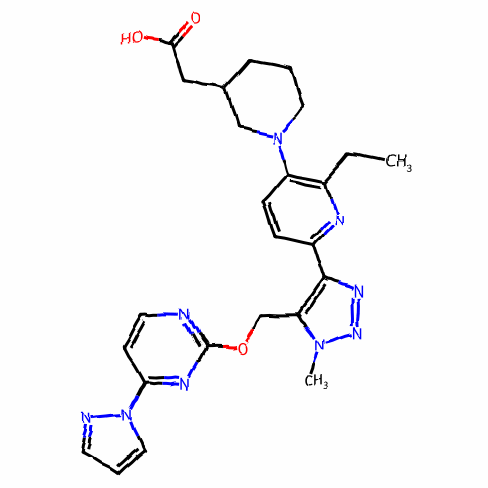 CCc1nc(-c2nnn(C)c2COc2nccc(-n3cccn3)n2)ccc1N1CCCC(CC(=O)O)C1